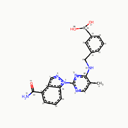 Cc1cnc(-n2ncc3c(C(N)=O)cccc32)nc1NCc1cccc(B(O)O)c1